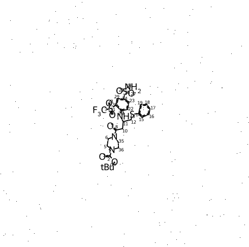 CC(C)(C)OC(=O)N1CCN(C(=O)CC(CSc2ccccc2)Nc2ccc(S(N)(=O)=O)cc2S(=O)(=O)C(F)(F)F)CC1